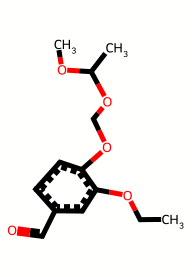 CCOc1cc(C=O)ccc1OCOC(C)OC